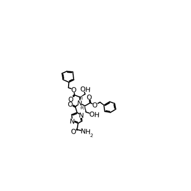 NC(=O)c1cnc(C(=O)N([C@H](CO)C(=O)OCc2ccccc2)[C@H](CO)C(=O)OCc2ccccc2)cn1